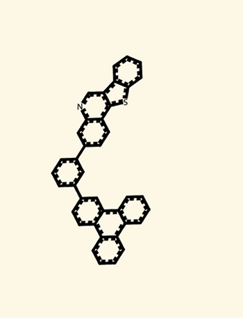 c1cc(-c2ccc3c(c2)ncc2c4ccccc4sc32)cc(-c2ccc3c4ccccc4c4ccccc4c3c2)c1